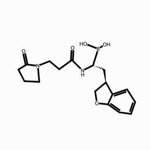 O=C(CCN1CCCC1=O)N[C@@H](C[C@@H]1COc2ccccc21)B(O)O